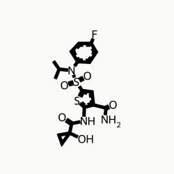 CC(C)N(c1ccc(F)cc1)S(=O)(=O)c1cc(C(N)=O)c(NC(=O)C2(O)CC2)s1